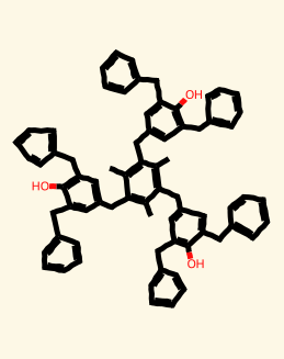 Cc1c(Cc2cc(Cc3ccccc3)c(O)c(Cc3ccccc3)c2)c(C)c(Cc2cc(Cc3ccccc3)c(O)c(Cc3ccccc3)c2)c(C)c1Cc1cc(Cc2ccccc2)c(O)c(Cc2ccccc2)c1